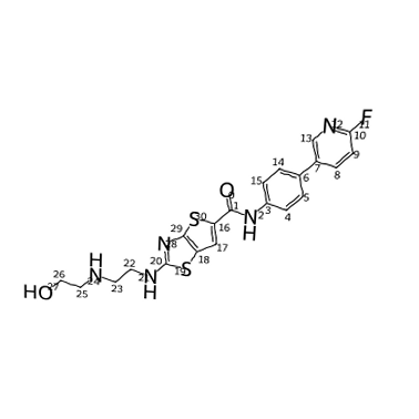 O=C(Nc1ccc(-c2ccc(F)nc2)cc1)c1cc2sc(NCCNCCO)nc2s1